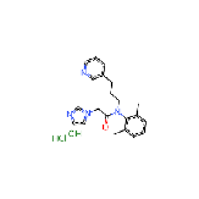 Cc1cccc(C)c1N(CCCc1cccnc1)C(=O)Cn1ccnc1.Cl.Cl